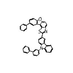 c1ccc(-c2cccc(-n3c4ccccc4c4cc(-c5nc6ccc7oc8ccc(-c9ccccc9)cc8c7c6s5)ccc43)c2)cc1